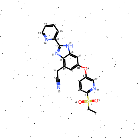 CCS(=O)(=O)c1ccc(Oc2cc(CC#N)c3nc(-c4ccccn4)[nH]c3c2)cn1